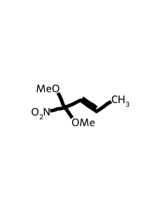 CC=CC(OC)(OC)[N+](=O)[O-]